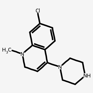 CN1CC=C(N2CCNCC2)c2ccc(Cl)cc21